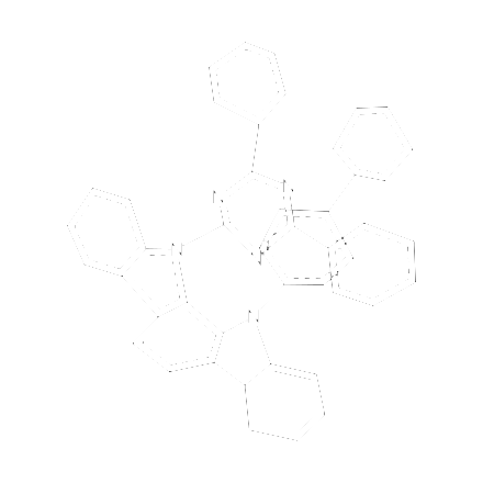 C1=CCC2C(=C1)N(c1ccc(-c3ccccc3)cc1)c1c2ccc2c3ccccc3n(-c3nc(-c4ccccc4)nc(-c4ccccc4)n3)c12